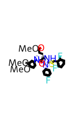 COC(=O)CC[C@H](N/C(=N/c1ccc(F)cc1)SCc1c(F)cccc1F)C(=O)N(C)c1ccc(OC)c(OC)c1